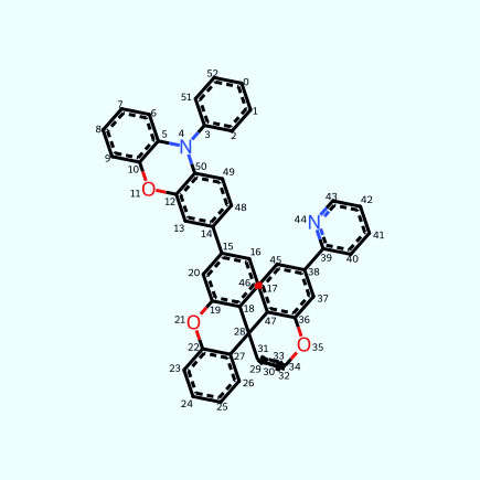 c1ccc(N2c3ccccc3Oc3cc(-c4ccc5c(c4)Oc4ccccc4C54c5ccccc5Oc5cc(-c6ccccn6)ccc54)ccc32)cc1